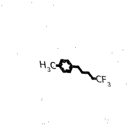 Cc1ccc(CCCCC(F)(F)F)cc1